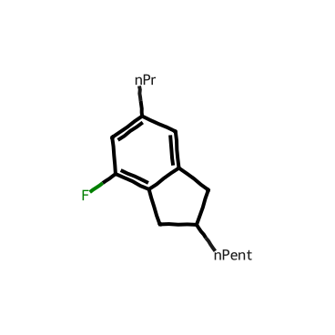 CCCCCC1Cc2cc(CCC)cc(F)c2C1